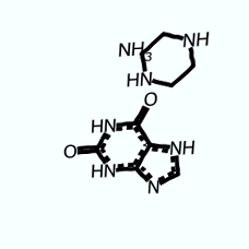 C1CNCCN1.N.O=c1[nH]c(=O)c2[nH]cnc2[nH]1